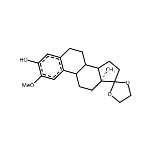 COc1cc2c(cc1O)CCC1C2CC[C@@]2(C)C1CCC21OCCO1